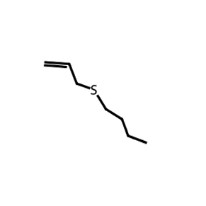 C=CCSCCCC